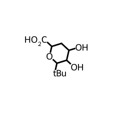 CC(C)(C)C1OC(C(=O)O)CC(O)C1O